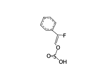 O=S(O)OC=C(F)c1ccccc1